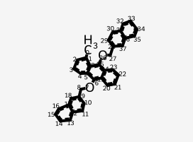 Cc1cccc2c(OCc3ccc4ccccc4c3)c3ccccc3c(OCc3ccc4ccccc4c3)c12